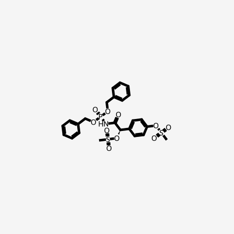 CS(=O)(=O)Oc1ccc([C@H](OS(C)(=O)=O)C(=O)NP(=O)(OCc2ccccc2)OCc2ccccc2)cc1